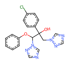 OC(Cn1cncn1)(c1ccc(Cl)cc1)C(Oc1ccccc1)n1cncn1